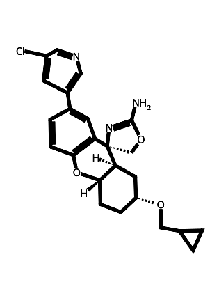 NC1=N[C@]2(CO1)c1cc(-c3cncc(Cl)c3)ccc1O[C@H]1CC[C@@H](OCC3CC3)C[C@@H]12